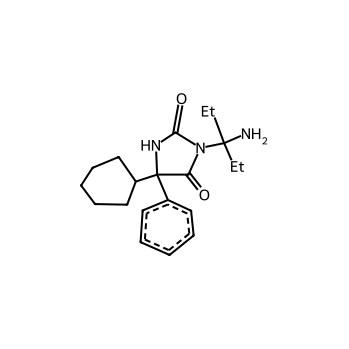 CCC(N)(CC)N1C(=O)NC(c2ccccc2)(C2CCCCC2)C1=O